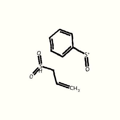 C=CC[SH](=O)=O.O=[S+]c1ccccc1